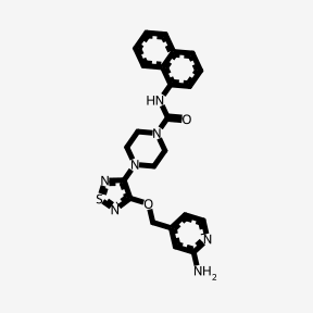 Nc1cc(COc2nsnc2N2CCN(C(=O)Nc3cccc4ccccc34)CC2)ccn1